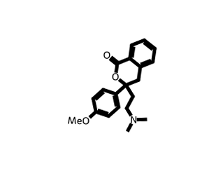 COc1ccc(C2(CCN(C)C)Cc3ccccc3C(=O)O2)cc1